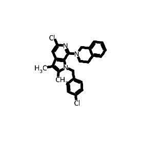 Cc1c(C)n(Cc2ccc(Cl)cc2)c2c(N3CCc4ccccc4C3)nc(Cl)cc12